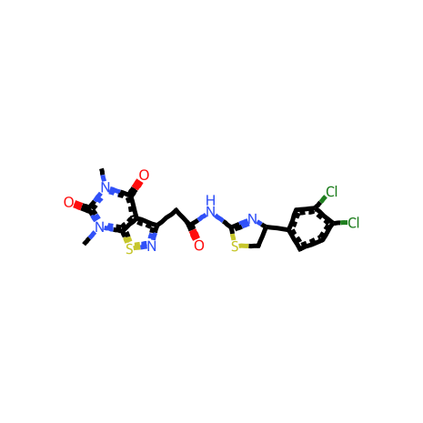 Cn1c(=O)c2c(CC(=O)NC3=NC(c4ccc(Cl)c(Cl)c4)CS3)nsc2n(C)c1=O